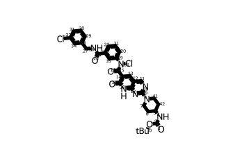 CC(C)(C)OC(=O)NC1CCN(c2ncc3cc(C(=O)N(Cl)c4cccc(C(=O)NCc5cccc(Cl)c5)c4)c(=O)[nH]c3n2)CC1